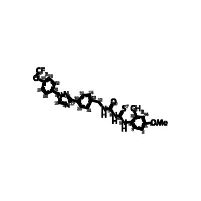 COc1ccc(NC(=S)NC(=O)NCc2ccc(-c3ncn(-c4ccc(OC(F)(F)F)cc4)n3)cc2)c(C)c1